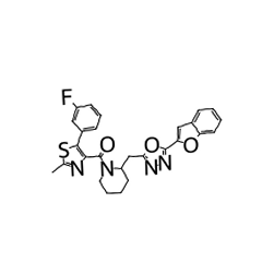 Cc1nc(C(=O)N2CCCCC2Cc2nnc(-c3cc4ccccc4o3)o2)c(-c2cccc(F)c2)s1